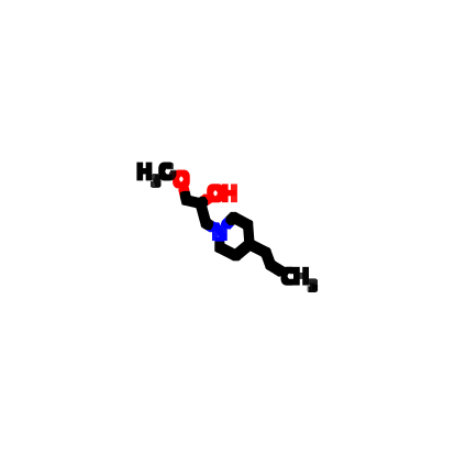 CCCC1CCN(CC(O)COC)CC1